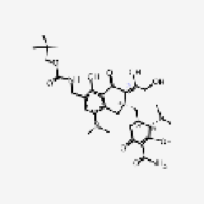 CN(C)c1cc(CNC(=O)OCC(C)(C)C)c(O)c2c1C[C@@H](C[C@@H]1CC(=O)C(C(N)=O)=C(O)[C@H]1N(C)C)/C(=C(/O)CO)C2=O